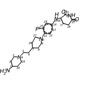 NC1CCN(CCC2CCN(c3ccc(NC4CCC(=O)NC4=O)cc3F)CC2)CC1